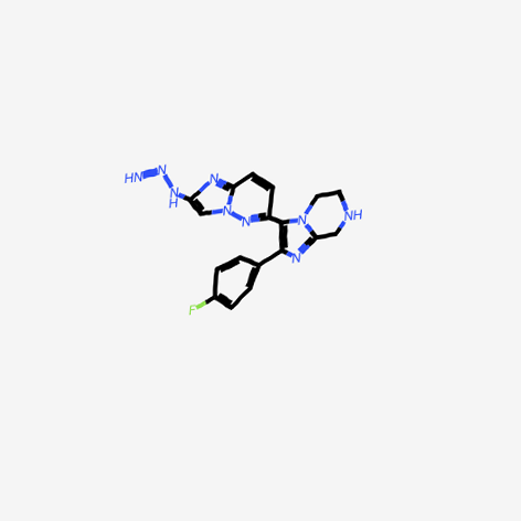 N=NNc1cn2nc(-c3c(-c4ccc(F)cc4)nc4n3CCNC4)ccc2n1